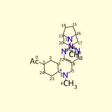 CC(=O)C1CCC(N(C)Cc2cnc(N3C4CCC3CN(C)C4)nc2)CC1